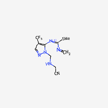 C=N/C(=N\c1c(C(F)(F)F)cnn1CNCC#N)SC